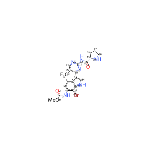 COC(=O)Nc1ccc2c(-c3nc(NC(=O)[C@@H]4CCCN4)ncc3C(F)(F)F)c[nH]c2c1Br